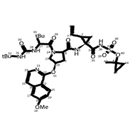 C=CC1C[C@]1(NC(=O)C1C[C@@H](Oc2nccc3cc(OC)ccc23)CN1C(=O)C(NC(=O)NC(C)(C)C)C(C)(C)C)C(=O)NS(=O)(=O)OC1(C)CC1